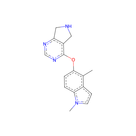 Cc1c(Oc2ncnc3c2CNC3)ccc2c1ccn2C